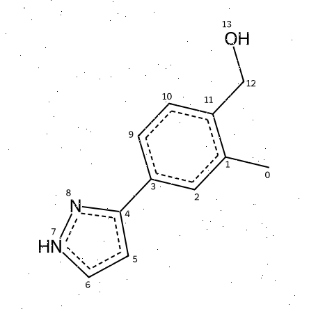 Cc1cc(-c2cc[nH]n2)ccc1CO